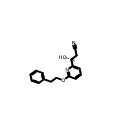 N#CC[C@@H](O)c1cccc(OCCc2ccccc2)n1